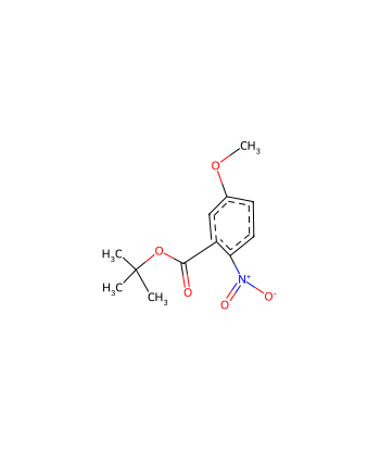 COc1ccc([N+](=O)[O-])c(C(=O)OC(C)(C)C)c1